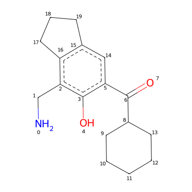 NCc1c(O)c(C(=O)C2CCCCC2)cc2c1CCC2